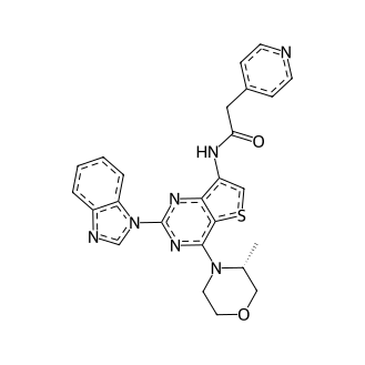 C[C@@H]1COCCN1c1nc(-n2cnc3ccccc32)nc2c(NC(=O)Cc3ccncc3)csc12